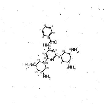 N[C@@H]1C[C@H](N)CN(c2nc(NC(=O)c3ccccc3)nc(N3C[C@H](N)C[C@H](N)C3)n2)C1